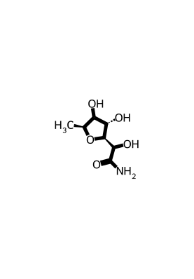 C[C@@H]1O[C@H](C(O)C(N)=O)[C@@H](O)C1O